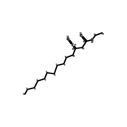 CCCCCCCCCCCC(=C=O)CC(=O)OCC